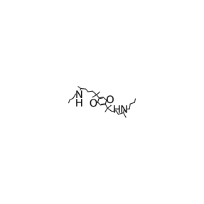 CCCCNC(C)CCCC(C)(C)C1=CC(=O)C(C(C)(C)CCCC(C)NCCCC)=CC1=O